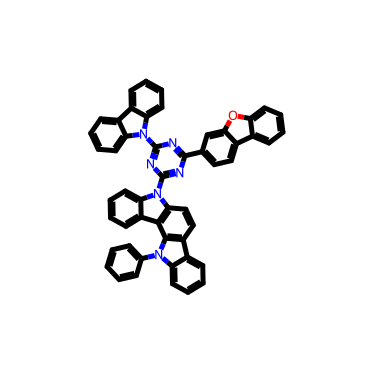 c1ccc(-n2c3ccccc3c3ccc4c(c5ccccc5n4-c4nc(-c5ccc6c(c5)oc5ccccc56)nc(-n5c6ccccc6c6ccccc65)n4)c32)cc1